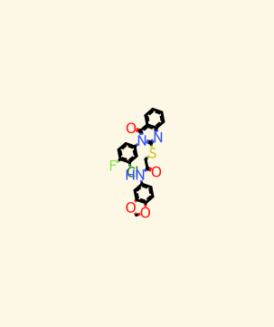 O=C(CSc1nc2ccccc2c(=O)n1-c1ccc(F)c(Cl)c1)Nc1ccc2c(c1)OCO2